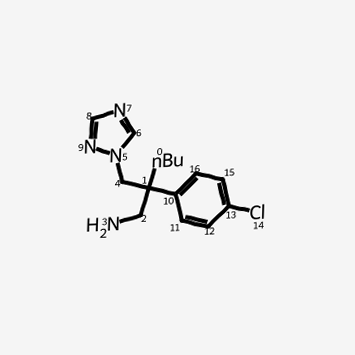 CCCCC(CN)(Cn1cncn1)c1ccc(Cl)cc1